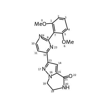 COc1cccc(OC)c1-c1nccc(-c2cc3n(n2)CCNC3=O)n1